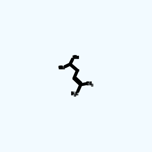 CC(C)=C[C]C(C(C)(C)C)C(C)(C)C